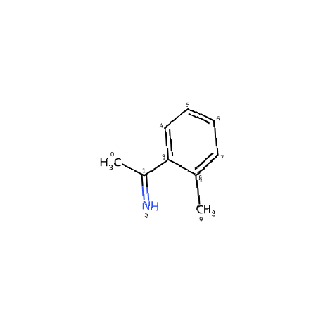 CC(=N)c1ccccc1C